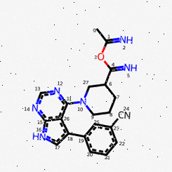 CC(=N)OC(=N)C1CCCN(c2ncnc3[nH]cc(-c4cccc(C#N)c4)c23)C1